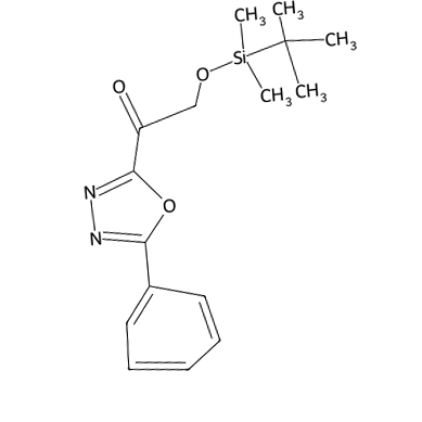 CC(C)(C)[Si](C)(C)OCC(=O)c1nnc(-c2ccccc2)o1